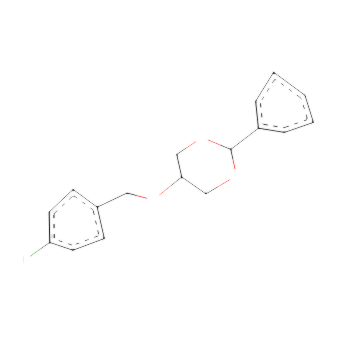 Fc1ccc(COC2COC(c3ccccc3)OC2)cc1